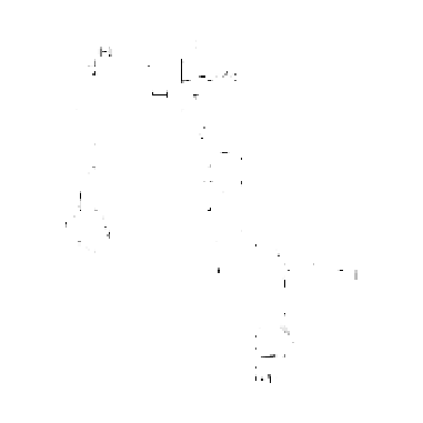 C=C1C[C@H](C[C@@H]2CC(=C)C[C@H](/C=C/C(C)(C)[C@]3(OC)O[C@H](C[C@@H](O[Si](C)(C)C(C)(C)C)[C@@H](C)OCOCc4ccccc4)CCC3=O)O2)O[C@H](C[C@@H](CCO)OCc2ccc(OC)cc2)C1